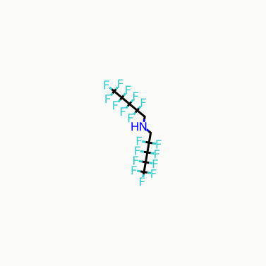 FC(F)(F)C(F)(F)C(F)(F)C(F)(F)CNCC(F)(F)C(F)(F)C(F)(F)C(F)(F)F